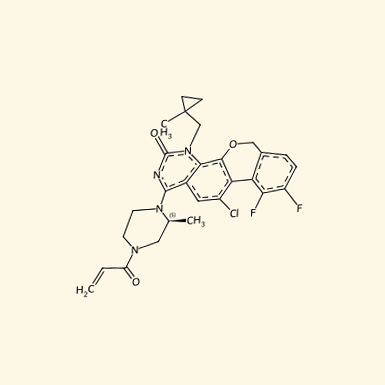 C=CC(=O)N1CCN(c2nc(=O)n(CC3(C)CC3)c3c4c(c(Cl)cc23)-c2c(ccc(F)c2F)CO4)[C@@H](C)C1